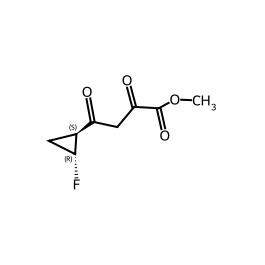 COC(=O)C(=O)CC(=O)[C@@H]1C[C@H]1F